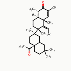 COC(=O)[C@]12CCC(C)(C)CC1C[C@](C)([C@]1(C)CC[C@H]3[C@H](C)C(=O)C(C#N)=C[C@]3(C)/C1=C/C(C)=O)CC2